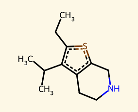 CCc1sc2c(c1C(C)C)CCNC2